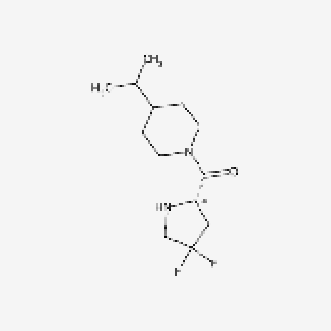 CC(C)C1CCN(C(=O)[C@@H]2CC(F)(F)CN2)CC1